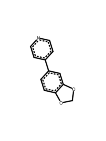 c1cc(-c2ccc3c(c2)OCO3)ccn1